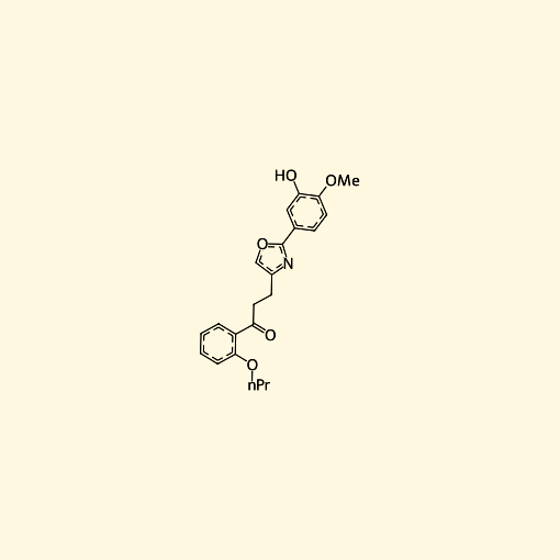 CCCOc1ccccc1C(=O)CCc1coc(-c2ccc(OC)c(O)c2)n1